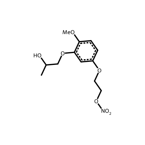 COc1ccc(OCCO[N+](=O)[O-])cc1OCC(C)O